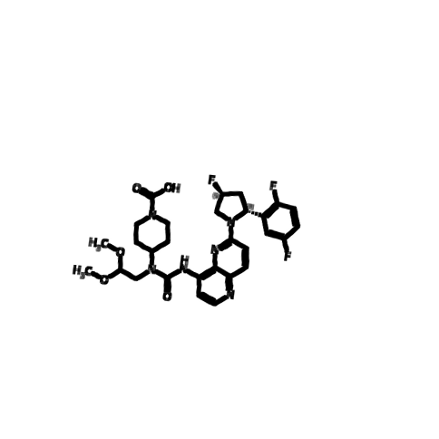 COC(CN(C(=O)Nc1ccnc2ccc(N3C[C@@H](F)C[C@@H]3c3cc(F)ccc3F)nc12)C1CCN(C(=O)O)CC1)OC